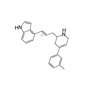 Cc1cccc(C2=CCNC(C/C=C/c3cccc4[nH]ccc34)C2)c1